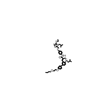 CCCCOCCOc1ccc(-c2ccc3c(c2)C=C(C(=O)Nc2ccc(SCc4nnc(SCC)n4CC(C)C)cc2)CCN3CC(C)C)cc1